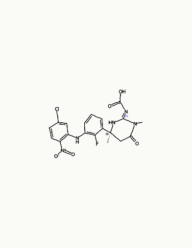 CN1C(=O)C[C@@](C)(c2cccc(Nc3cc(Cl)ccc3[N+](=O)[O-])c2F)N/C1=N\C(=O)O